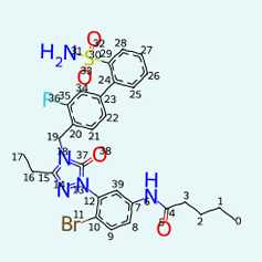 CCCCC(=O)Nc1ccc(Br)c(-n2nc(CC)n(Cc3ccc(-c4ccccc4S(N)(=O)=O)cc3F)c2=O)c1